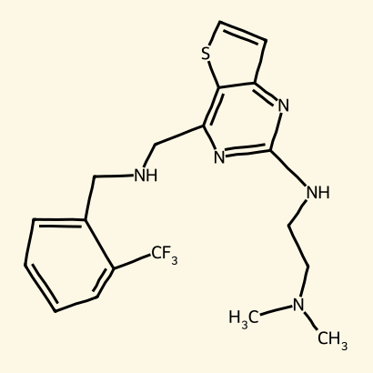 CN(C)CCNc1nc(CNCc2ccccc2C(F)(F)F)c2sccc2n1